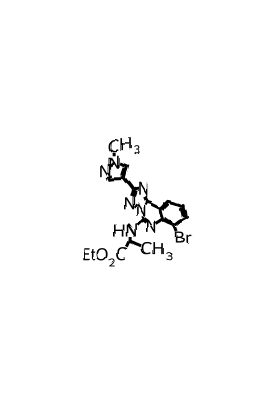 CCOC(=O)C(C)Nc1nc2c(Br)cccc2c2nc(-c3cnn(C)c3)nn12